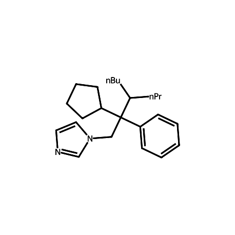 CCCCC(CCC)C(Cn1ccnc1)(c1ccccc1)C1CCCC1